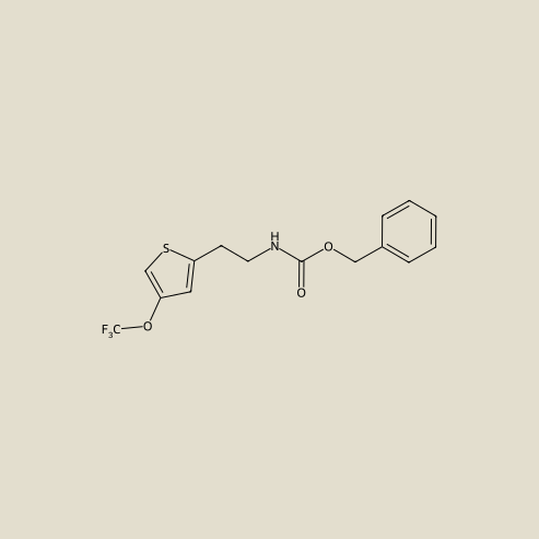 O=C(NCCc1cc(OC(F)(F)F)cs1)OCc1ccccc1